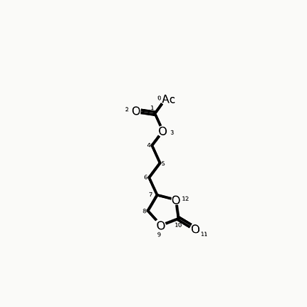 CC(=O)C(=O)OCCCC1COC(=O)O1